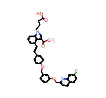 O=C(O)CCCn1cc(C(=O)O)c2c(C=Cc3ccc(OCc4cccc(OCc5ccc6ccc(Cl)cc6n5)c4)cc3)cccc21